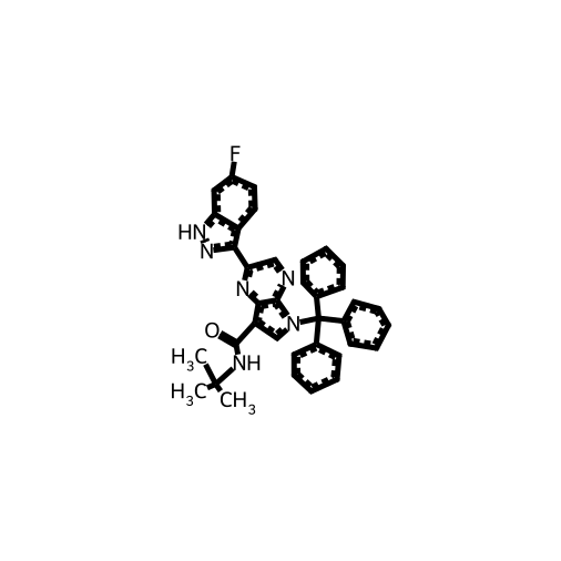 CC(C)(C)NC(=O)c1cn(C(c2ccccc2)(c2ccccc2)c2ccccc2)c2ncc(-c3n[nH]c4cc(F)ccc34)nc12